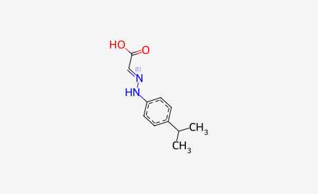 CC(C)c1ccc(N/N=C/C(=O)O)cc1